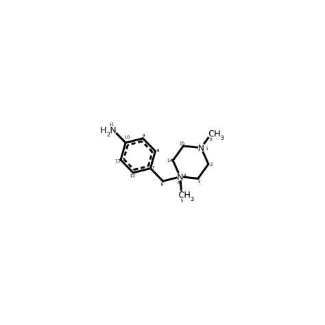 CN1CC[N+](C)(Cc2ccc(N)cc2)CC1